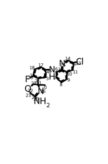 CC1(c2cc(Nc3cccc4cc(Cl)cnc34)ccc2F)COCC(N)=N1